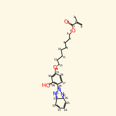 C=C(C)C(=O)OCCCCCCCCOc1ccc(-n2nc3ccccc3n2)c(O)c1